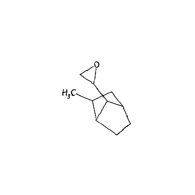 CC1CC2CCC1C2C1CO1